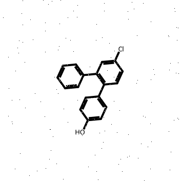 Oc1ccc(-c2ccc(Cl)cc2-c2ccccc2)cc1